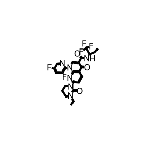 CCC(NC(=O)c1cn(-c2ncc(F)cc2F)c2nc(N3CCCN(CC)C3=O)ccc2c1=O)C(F)(F)F